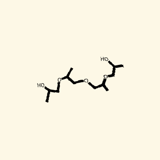 CC(O)COC(C)COCC(C)OCC(C)O